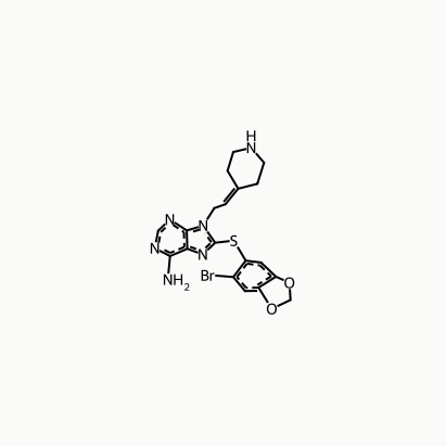 Nc1ncnc2c1nc(Sc1cc3c(cc1Br)OCO3)n2CC=C1CCNCC1